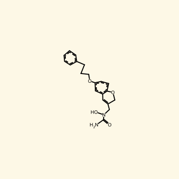 NC(=O)N(O)CC1=Cc2cc(OCCCc3ccccc3)ccc2OC1